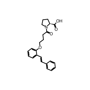 O=C(O)[C@@H]1CCCN1C(=O)CCCOc1ccccc1/C=C/c1ccccc1